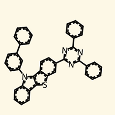 c1ccc(-c2cccc(-n3c4ccccc4c4sc5cc(-c6nc(-c7ccccc7)nc(-c7ccccc7)n6)ccc5c43)c2)cc1